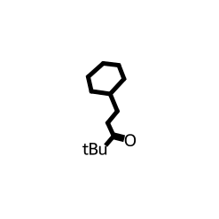 CC(C)(C)C(=O)CCC1CCCCC1